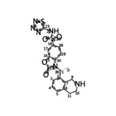 C[C@H](c1cccc2c1CNCC2)n1c(=O)oc2cc(S(=O)(=O)Nc3nnns3)ccc21